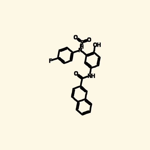 O=C(Nc1ccc(O)c(N(c2ccc(F)cc2)[SH](=O)=O)c1)c1ccc2ccccc2c1